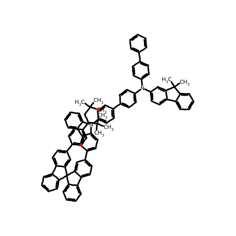 CC(C)(C)CC(c1ccc(-c2ccc3c(c2)C2(c4ccccc4-3)c3ccccc3-c3ccc(-c4ccc5c(c4)c4ccccc4n5-c4ccc(-c5ccc(N(c6ccc(-c7ccccc7)cc6)c6ccc7c(c6)C(C)(C)c6ccccc6-7)cc5)cc4)cc32)cc1)C(C)(C)C